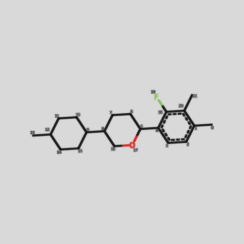 Cc1ccc(C2CCC(C3CCC(C)CC3)CO2)c(F)c1C